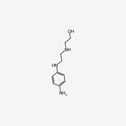 Nc1ccc(NCCNCCO)cc1